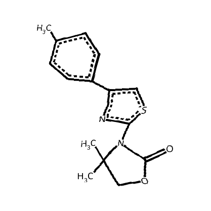 Cc1ccc(-c2csc(N3C(=O)OCC3(C)C)n2)cc1